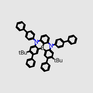 CC(C)(C)c1cc2c(cc1-c1ccccc1)B1c3cc(-c4ccccc4)c(C(C)(C)C)cc3N(c3ccc(-c4ccccc4)cc3)c3cccc(c31)N2c1ccc(-c2ccccc2)cc1